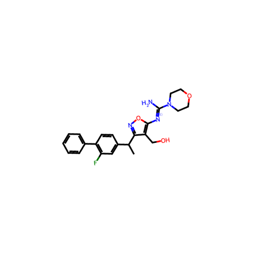 CC(c1ccc(-c2ccccc2)c(F)c1)c1noc(/N=C(\N)N2CCOCC2)c1CO